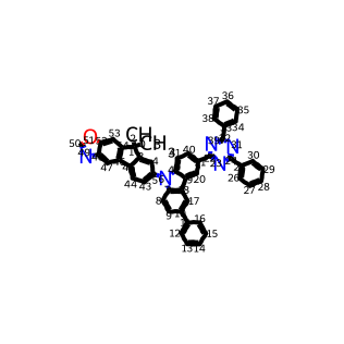 CC1(C)c2cc(-n3c4ccc(-c5ccccc5)cc4c4cc(-c5nc(-c6ccccc6)nc(-c6ccccc6)n5)ccc43)ccc2-c2cc3ncoc3cc21